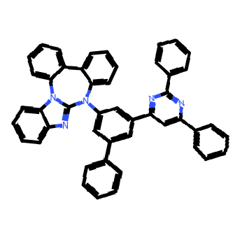 c1ccc(-c2cc(-c3cc(-c4ccccc4)nc(-c4ccccc4)n3)cc(N3c4ccccc4-c4ccccc4-n4c3nc3ccccc34)c2)cc1